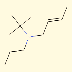 CC=CCN(CCC)C(C)(C)C